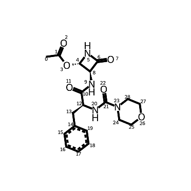 CC(=O)O[C@@H]1NC(=O)[C@H]1NC(=O)[C@H](Cc1ccccc1)NC(=O)N1CCOCC1